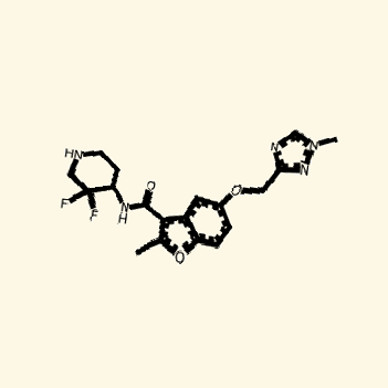 Cc1oc2ccc(OCc3ncn(C)n3)cc2c1C(=O)NC1CCNCC1(F)F